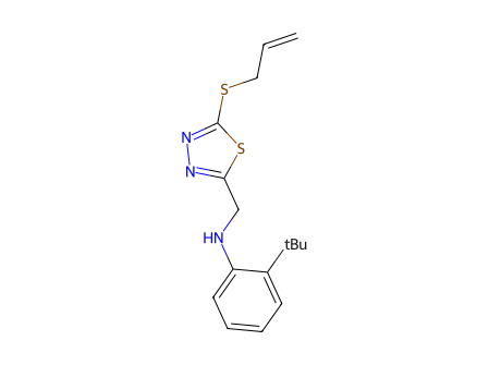 C=CCSc1nnc(CNc2ccccc2C(C)(C)C)s1